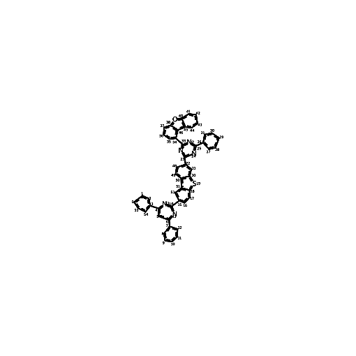 c1ccc(-c2cc(-c3ccccc3)nc(-c3ccc4sc5cc(-c6nc(-c7ccccc7)nc(-c7cccc8oc9ccccc9c78)n6)ccc5c4c3)n2)cc1